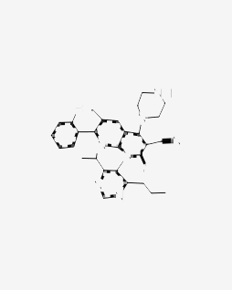 CCCc1ncnc(C(C)C)c1-n1c(=O)c(C#N)c(N2CCNCC2)c2cc(Cl)c(-c3ccccc3F)nc21